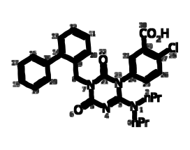 CCCN(CCC)c1nc(=O)n(Cc2ccccc2-c2ccccc2)c(=O)n1-c1ccc(Cl)c(C(=O)O)c1